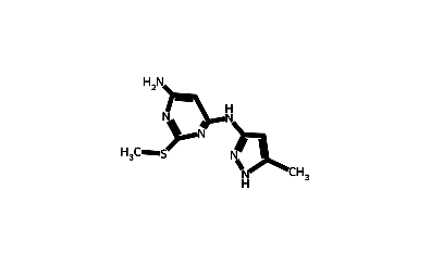 CSc1nc(N)cc(Nc2cc(C)[nH]n2)n1